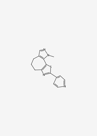 Cn1ncc2c1-c1sc(-c3ccncc3)nc1CCC2